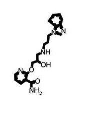 NC(=O)c1cccnc1OCC(O)CNCCCn1cnc2ccccc21